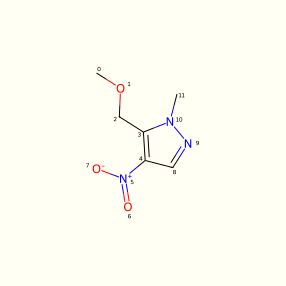 COCc1c([N+](=O)[O-])cnn1C